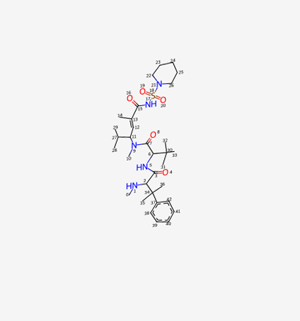 CNC(C(=O)NC(C(=O)N(C)C(C=C(C)C(=O)NS(=O)(=O)N1CCCCC1)C(C)C)C(C)(C)C)C(C)(C)c1ccccc1